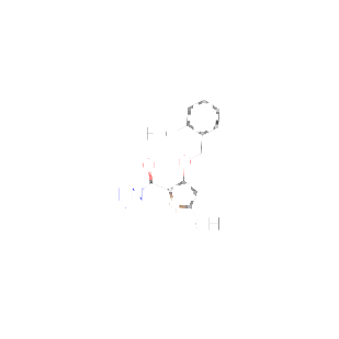 Cc1cc(OCc2ccccc2C(F)(F)F)c(C(N)=O)s1